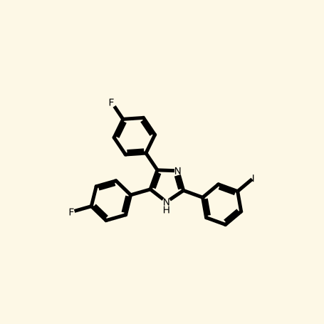 Fc1ccc(-c2nc(-c3cccc(I)c3)[nH]c2-c2ccc(F)cc2)cc1